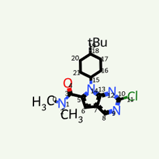 CN(C)C(=O)c1cc2cnc(Cl)nc2n1C1CCC(C(C)(C)C)CC1